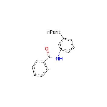 CCCCCc1cccc(NC(=O)c2ccccc2)c1